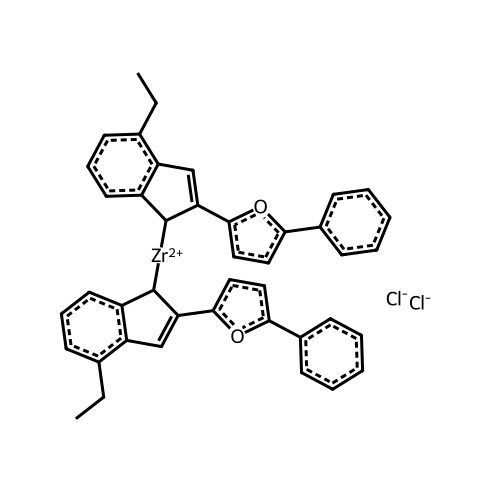 CCc1cccc2c1C=C(c1ccc(-c3ccccc3)o1)[CH]2[Zr+2][CH]1C(c2ccc(-c3ccccc3)o2)=Cc2c(CC)cccc21.[Cl-].[Cl-]